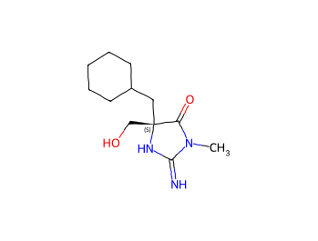 CN1C(=N)N[C@](CO)(CC2CCCCC2)C1=O